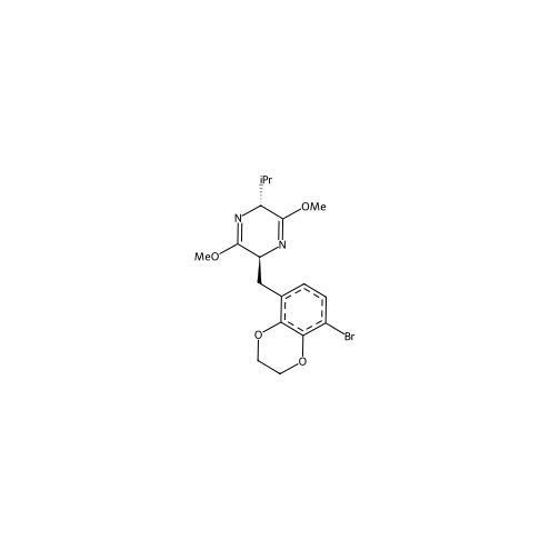 COC1=N[C@H](C(C)C)C(OC)=N[C@H]1Cc1ccc(Br)c2c1OCCO2